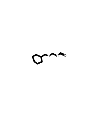 O=COCOCC1CCCCC1